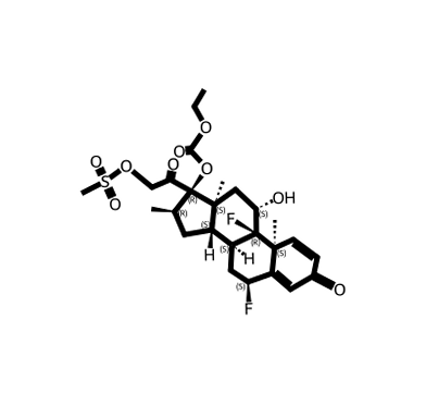 CCOC(=O)O[C@]1(C(=O)COS(C)(=O)=O)[C@H](C)C[C@H]2[C@@H]3C[C@H](F)C4=CC(=O)C=C[C@]4(C)[C@@]3(F)[C@@H](O)C[C@@]21C